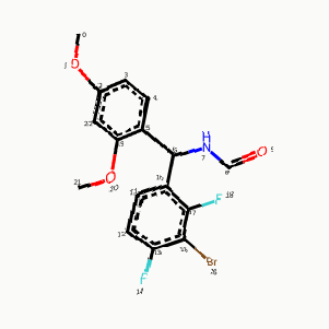 COc1ccc(C(NC=O)c2ccc(F)c(Br)c2F)c(OC)c1